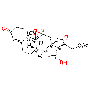 CC(=O)OCC(=O)[C@H]1[C@H](O)C[C@H]2[C@@H]3CCC4=CC(=O)CC[C@]4(C)[C@@]34O[C@H]4C[C@@]21C